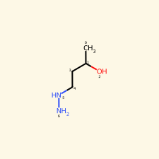 CC(O)CCNN